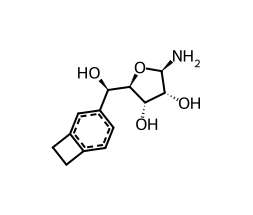 N[C@@H]1O[C@H]([C@H](O)c2ccc3c(c2)CC3)[C@@H](O)[C@H]1O